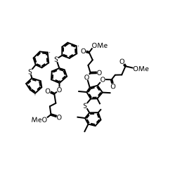 COC(=O)CCC(=O)Oc1c(C)c(C)c(Sc2c(C)ccc(C)c2C)c(C)c1OC(=O)CCC(=O)OC.COC(=O)CCC(=O)Oc1ccc(Sc2cc[c]cc2)cc1.[c]1ccc(Sc2cc[c]cc2)cc1